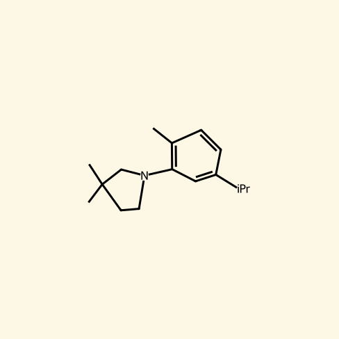 Cc1ccc(C(C)C)cc1N1CCC(C)(C)C1